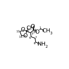 CCOC(=O)C(CCCN)C1(C)OCCO1